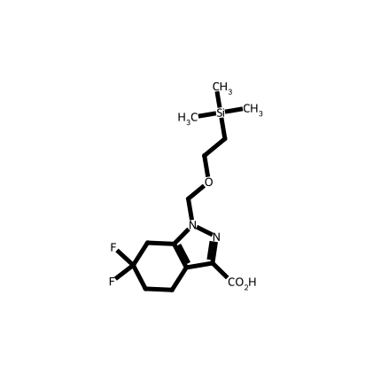 C[Si](C)(C)CCOCn1nc(C(=O)O)c2c1CC(F)(F)CC2